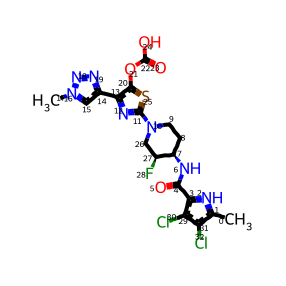 Cc1[nH]c(C(=O)N[C@@H]2CCN(c3nc(-c4cn(C)nn4)c(OC(=O)O)s3)C[C@@H]2F)c(Cl)c1Cl